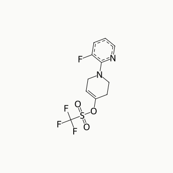 O=S(=O)(OC1=CCN(c2ncccc2F)CC1)C(F)(F)F